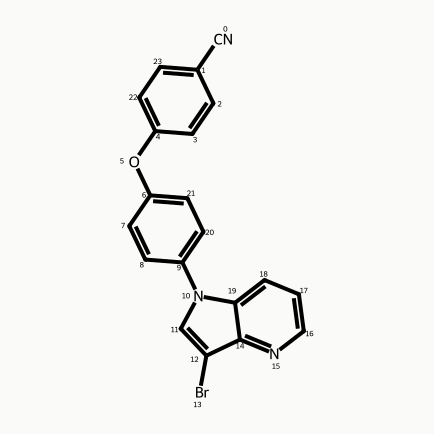 N#Cc1ccc(Oc2ccc(-n3cc(Br)c4ncccc43)cc2)cc1